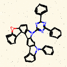 c1ccc(-c2nc(-c3ccccc3)nc(-n3c4cc5c(cc4c4c6c(ccc43)oc3ccccc36)c3ccccc3n5-c3ccccc3)n2)cc1